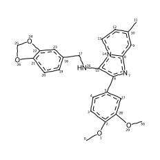 COc1ccc(-c2nc3cc(C)ccn3c2NCc2ccc3c(c2)OCO3)cc1OC